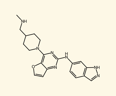 CNCC1CCN(c2nc(Nc3ccc4cn[nH]c4c3)nc3ccoc23)CC1